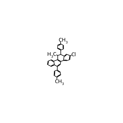 Cc1ccc(-c2cc3c(c4ccccc24)C(C)C(c2ccc(C)cc2)c2cc(Cl)ccc2-3)cc1